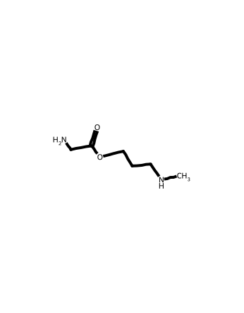 CNCCCOC(=O)CN